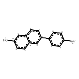 CCCc1ccc(-c2ccc3cc(O)ccc3c2)cc1